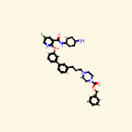 NC1CCC(NC(=O)c2cc(F)cnc2Oc2cccc(-c3cccc(CCCN4CCN(C(=O)OCc5ccccc5)CC4)c3)c2)CC1